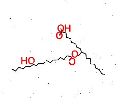 CCCCCCCCCC(CCCCCCCC(=O)O)COC(=O)CCCCCCCCCCC(O)CCCCCC